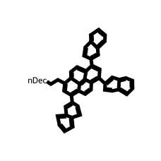 CCCCCCCCCCCCc1cc(-c2ccc3ccccc3c2)c2ccc3c(-c4ccc5ccccc5c4)cc(-c4ccc5ccccc5c4)c4ccc1c2c43